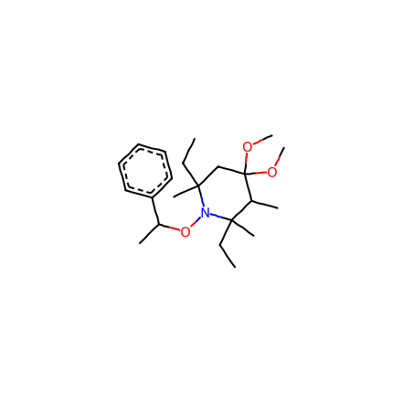 CCC1(C)CC(OC)(OC)C(C)C(C)(CC)N1OC(C)c1ccccc1